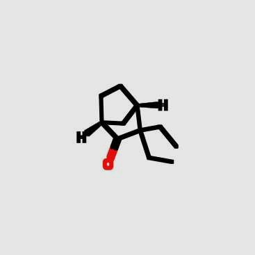 CCC1(CC)C(=O)[C@@H]2CC[C@H]1C2